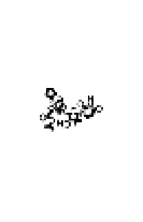 CC(C)OC(=O)[C@@H](C)N[P@@](=O)(OC[C@H]1O[C@@H](n2ccc(=O)[nH]c2=O)C(C)(C)[C@@H]1O)SC1CCCC1